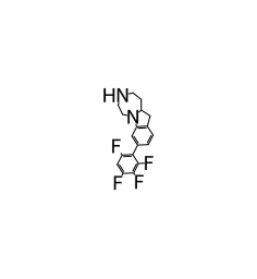 Fc1cc(F)c(-c2ccc3c(c2)N2CCNCCC2C3)c(F)c1F